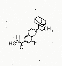 CC[C@@H](N1CCc2cc(C(=O)NO)cc(F)c2C1)C12CC3CC(CC(C3)C1)C2